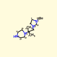 CC(C)(C)N1CCN(CC(C)(C)N2CCNCC2)C1